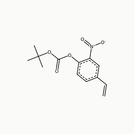 C=Cc1ccc(OC(=O)OC(C)(C)C)c([N+](=O)[O-])c1